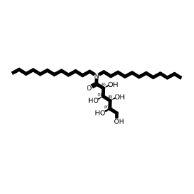 CCCCCCCCCCCCN(CCCCCCCCCCCC)C(=O)[C@H](O)[C@@H](O)[C@H](O)[C@H](O)CO